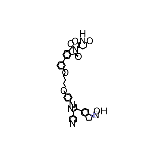 O=C1CCC(N2C(=O)c3ccc(-c4cccc(OCCCCOc5ccc(-n6cc(-c7ccc8c(c7)CC/C8=N/O)c(-c7ccncc7)n6)cc5)c4)cc3C2=O)C(=O)N1